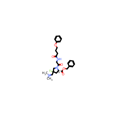 CN(C)C[C@@]1(F)C[C@@H](C(=O)OCc2ccccc2)N(C(=O)CNC(=O)CCCOc2ccccc2)C1